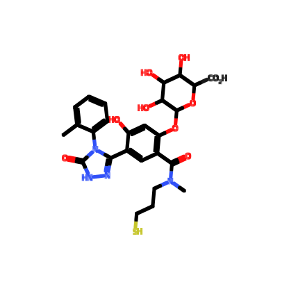 Cc1ccccc1-n1c(-c2cc(C(=O)N(C)CCCS)c(OC3OC(C(=O)O)C(O)C(O)C3O)cc2O)n[nH]c1=O